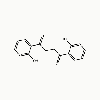 O=C(CCC(=O)c1ccccc1O)c1ccccc1O